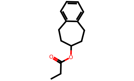 CCC(=O)OC1CCc2ccccc2CC1